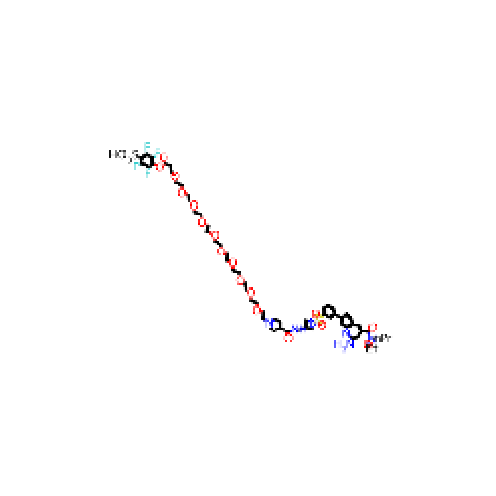 CCCN(OCC)C(=O)C1=Cc2ccc(-c3cccc(S(=O)(=O)N4CC(CNC(=O)C5CCN(CCOCCOCCOCCOCCOCCOCCOCCOCCOCCOCCC(=O)Oc6c(F)c(F)c(S(=O)(=O)O)c(F)c6F)CC5)C4)c3)cc2N=C(N)C1